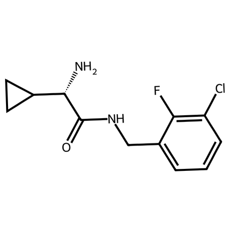 N[C@H](C(=O)NCc1cccc(Cl)c1F)C1CC1